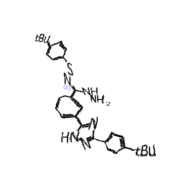 CC(C)(C)c1ccc(S/N=C(\NN)c2cccc(-c3nc(-c4ccc(C(C)(C)C)cc4)n[nH]3)c2)cc1